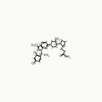 Cc1nn([C@H](C)c2ccc(Cl)cc2Cl)c2nc(N3CC[C@H](N4CCC[C@H]4CCC(N)=O)[C@H](C)C3)cnc12